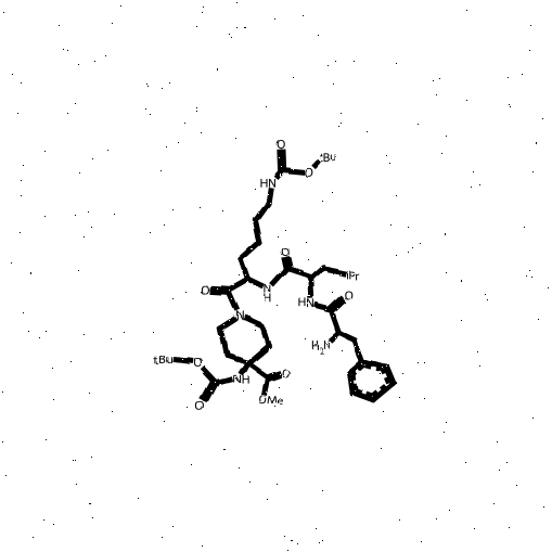 COC(=O)C1(NC(=O)OC(C)(C)C)CCN(C(=O)C(CCCCNC(=O)OC(C)(C)C)NC(=O)C(CC(C)C)NC(=O)C(N)Cc2ccccc2)CC1